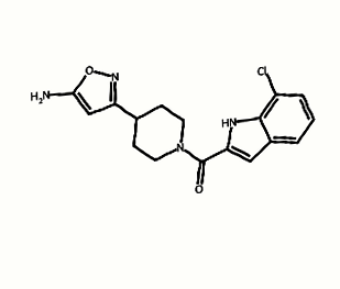 Nc1cc(C2CCN(C(=O)c3cc4cccc(Cl)c4[nH]3)CC2)no1